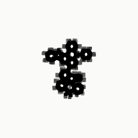 CC1(C)c2ccccc2C2(c3ccccc3-c3c(-c4ccc(N(c5ccccc5)c5ccccc5-c5cccc6c5sc5ccccc56)cc4)cccc32)c2ccccc21